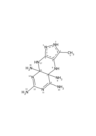 Cc1[nH]nc2c1NC1(N)C(N)=NC(N)=NC1(N)N2